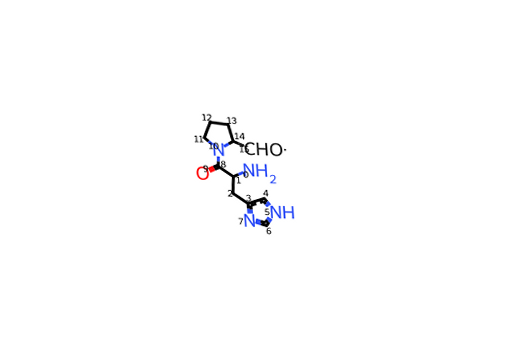 NC(Cc1c[nH]cn1)C(=O)N1CCCC1[C]=O